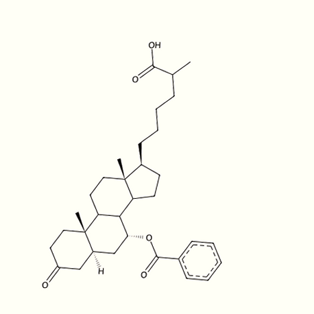 CC(CCCC[C@H]1CCC2C3C(CC[C@@]21C)[C@@]1(C)CCC(=O)C[C@@H]1C[C@H]3OC(=O)c1ccccc1)C(=O)O